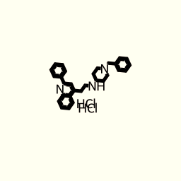 Cl.Cl.c1ccc(CN2CCC(NCCc3cc(-c4ccccc4)nc4ccccc34)CC2)cc1